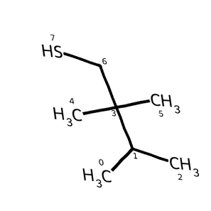 CC(C)C(C)(C)CS